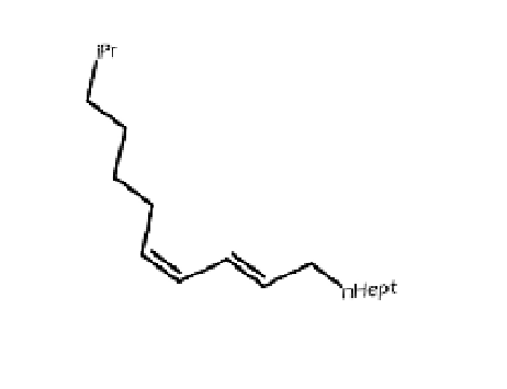 CCCCCCCC/C=C/C=C\CCCCC(C)C